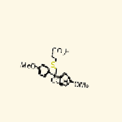 COc1ccc(C(CSCCC(=O)O)(C(=O)O)c2ccc(OC)cc2)cc1